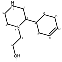 OCCN1CCNCC1C1CC=CCC1